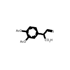 CC(=O)Oc1ccc(C(C=S)C(=O)O)cc1OC(C)=O